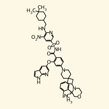 CC(C)c1ccccc1[C@@]1(C)COCCN1C1CC2(CCN(c3ccc(C(=O)NS(=O)(=O)c4cnc(NCC5CCC(C)(C)CC5)c([N+](=O)[O-])c4)c(Oc4cnc5[nH]ccc5c4)c3)CC2)C1